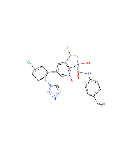 O=C(O)c1ccc(NC(=O)C2(O)CC(F)c3cc(-c4cc(Cl)ccc4-n4cnnn4)c[n+]([O-])c32)cc1